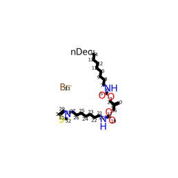 C=C(COC(=O)NCCCCCCCCCCCCCCCCCC)COC(=O)NCCCCCCC[n+]1ccsc1.[Br-]